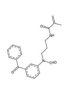 C=C(C)C(=O)NCCCN(C=O)c1cccc(C(=O)c2ccccc2)c1